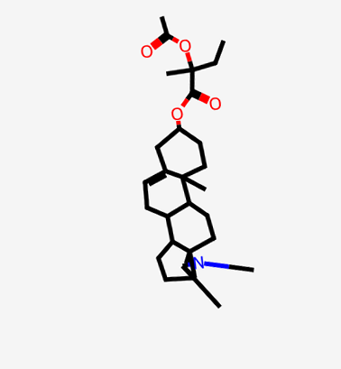 CCC(C)(OC(C)=O)C(=O)OC1CCC2(C)C(=CCC3C2CCC24CN(C)C(C)C2CCC34)C1